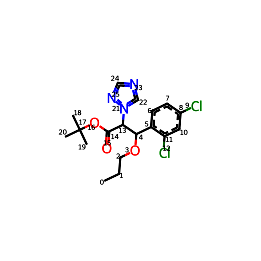 CCCOC(c1ccc(Cl)cc1Cl)C(C(=O)OC(C)(C)C)n1cncn1